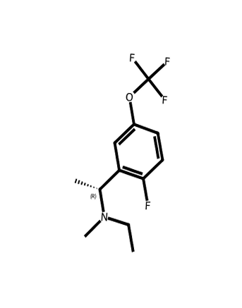 CCN(C)[C@H](C)c1cc(OC(F)(F)F)ccc1F